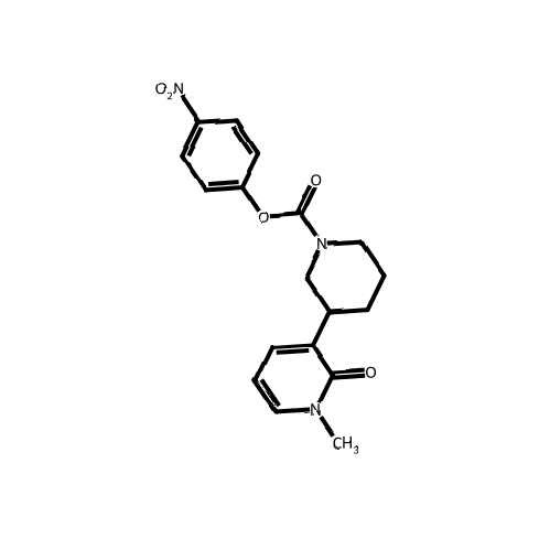 Cn1cccc(C2CCCN(C(=O)Oc3ccc([N+](=O)[O-])cc3)C2)c1=O